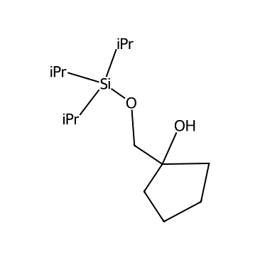 CC(C)[Si](OCC1(O)CCCC1)(C(C)C)C(C)C